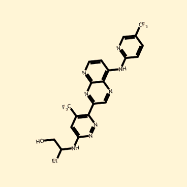 CCC(CO)Nc1cc(C(F)(F)F)c(-c2cnc3c(Nc4ccc(C(F)(F)F)cn4)ccnc3n2)nn1